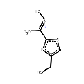 N/C(=N\O)c1nc(CO)cs1